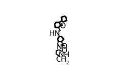 C=C1CCC(N2Cc3cc(NCc4cccc5c4oc4ccccc45)ccc3C2=O)C(=O)N1